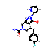 NC(=O)N1Cc2nn(-c3ccccn3)c(O)c2C(Cc2ccc(F)cc2)C1